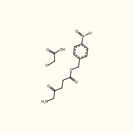 NCC(=O)CCC(=O)OCc1ccc([N+](=O)[O-])cc1.O=C(O)CCl